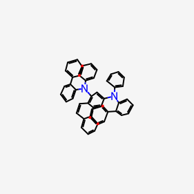 c1ccc(-c2ccccc2N(c2ccccc2)c2cc(N(c3ccccc3)c3ccccc3-c3ccccc3)c3ccc4ccccc4c3c2)cc1